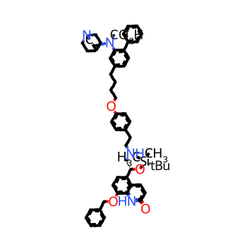 CC(C)(C)[Si](C)(C)O[C@@H](CNCCc1ccc(OCCCCc2ccc(-c3ccccc3)c(N(C(=O)O)C3CN4CCC3CC4)c2)cc1)c1ccc(OCc2ccccc2)c2[nH]c(=O)ccc12